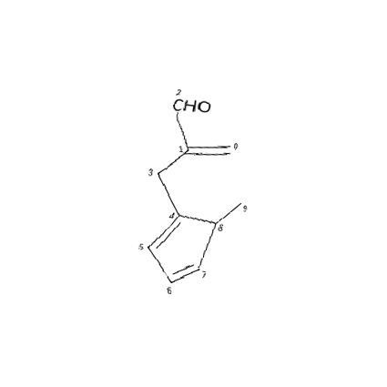 C=C(C=O)CC1=CC=CC1C